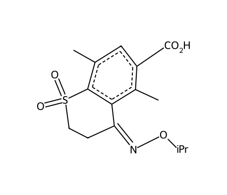 Cc1cc(C(=O)O)c(C)c2c1S(=O)(=O)CC/C2=N/OC(C)C